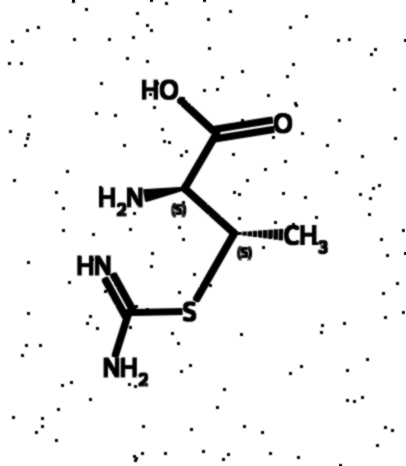 C[C@H](SC(=N)N)[C@@H](N)C(=O)O